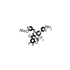 COc1cc(CN(Cc2cn3c4c(c(F)c(F)cc4c2=O)OCC3C(F)(F)F)[C@H]2CCCN(c3ccc(N)nc3)C2)ccn1